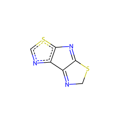 c1nc2c(s1)N=C1SCN=C12